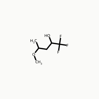 COC(C)CC(O)C(F)(F)F